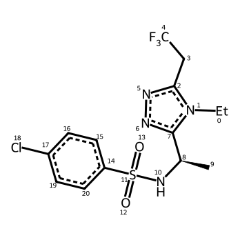 CCn1c(CC(F)(F)F)nnc1[C@@H](C)NS(=O)(=O)c1ccc(Cl)cc1